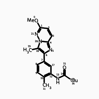 COc1ccc2nc(-c3ccc(C)c(NC(=O)C(C)(C)C)c3)c(C)n2n1